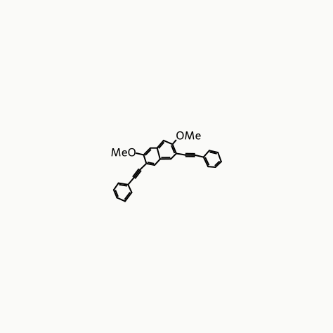 COc1cc2cc(OC)c(C#Cc3ccccc3)cc2cc1C#Cc1ccccc1